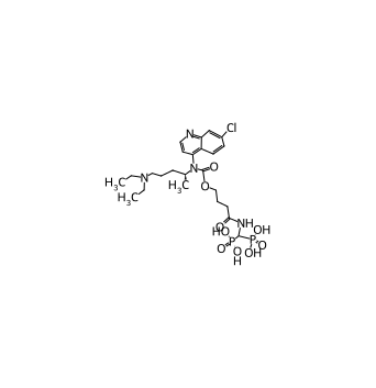 CCN(CC)CCC[C@H](C)N(C(=O)OCCCC(=O)NC(P(=O)(O)O)P(=O)(O)O)c1ccnc2cc(Cl)ccc12